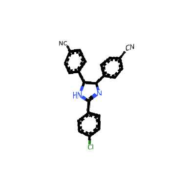 N#Cc1ccc(C2N=C(c3ccc(Cl)cc3)NC2c2ccc(C#N)cc2)cc1